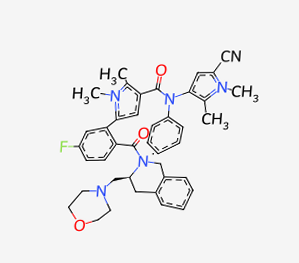 Cc1c(N(C(=O)c2cc(-c3cc(F)ccc3C(=O)N3Cc4ccccc4C[C@H]3CN3CCOCC3)n(C)c2C)c2cc[c]cc2)cc(C#N)n1C